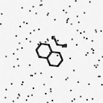 C1CCC2CCCCC2C1.ClCCl